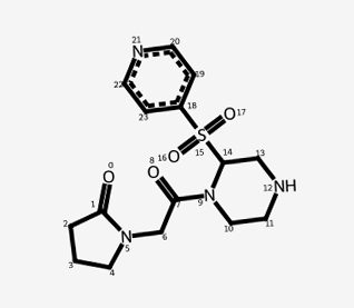 O=C1CCCN1CC(=O)N1CCNCC1S(=O)(=O)c1ccncc1